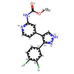 CC(C)(C)OC(=O)Nc1cc(-c2c[nH]nc2-c2ccc(F)c(F)c2)ccn1